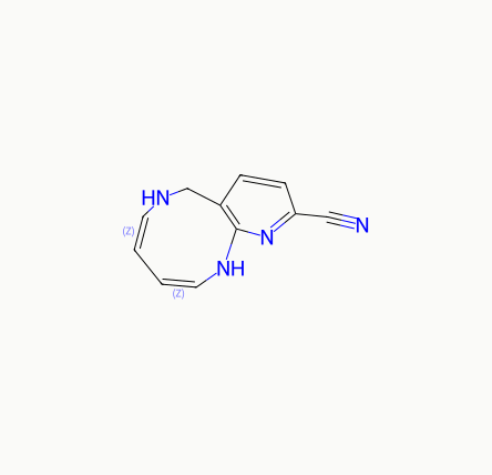 N#Cc1ccc2c(n1)N/C=C\C=C/NC2